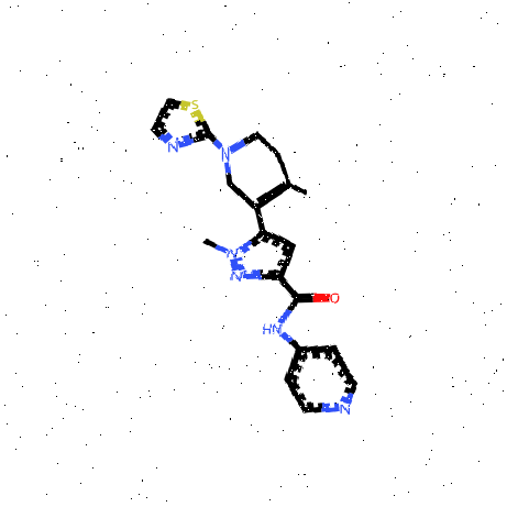 CC1=C(c2cc(C(=O)Nc3ccncc3)nn2C)CN(c2nccs2)CC1